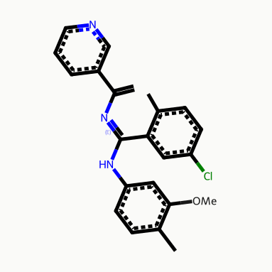 C=C(/N=C(/Nc1ccc(C)c(OC)c1)c1cc(Cl)ccc1C)c1cccnc1